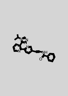 CC(C)n1cnnc1-c1cccnc1-c1ccc(C#CNC(=O)c2ccccc2)cn1